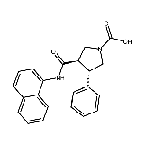 O=C(Nc1cccc2ccccc12)[C@H]1CN(C(=O)O)C[C@@H]1c1ccccc1